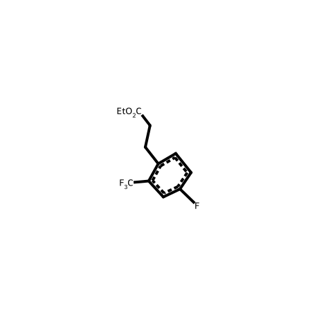 CCOC(=O)CCc1ccc(F)cc1C(F)(F)F